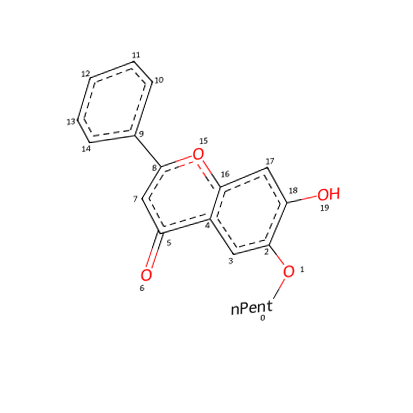 CCCCCOc1cc2c(=O)cc(-c3ccccc3)oc2cc1O